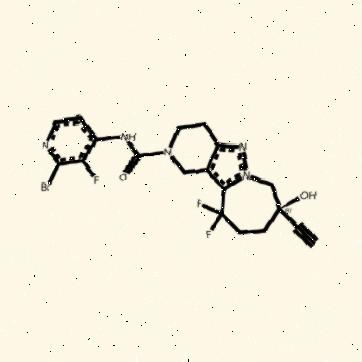 C#C[C@]1(O)CCC(F)(F)c2c3c(nn2C1)CCN(C(=O)Nc1ccnc(Br)c1F)C3